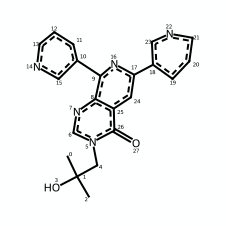 CC(C)(O)Cn1cnc2c(-c3cccnc3)nc(-c3cccnc3)cc2c1=O